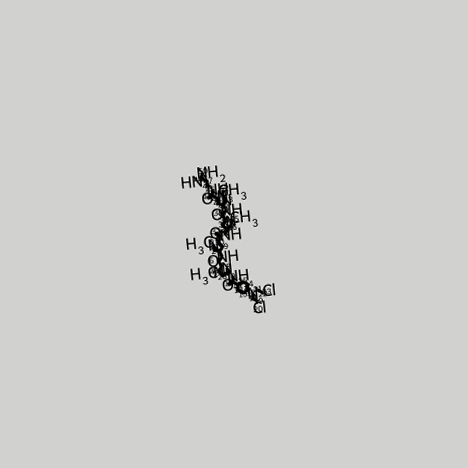 Cn1cc(NC(=O)c2nc(NC(=O)c3ccc(N(CCCl)CCCl)cc3)cn2C)cc1C(=O)Nc1cc(C(=O)Nc2cc(C(=O)NCCC(=N)N)n(C)n2)n(C)c1